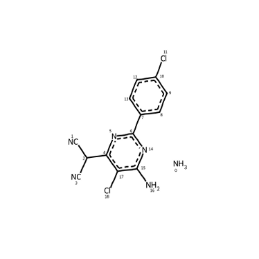 N.N#CC(C#N)c1nc(-c2ccc(Cl)cc2)nc(N)c1Cl